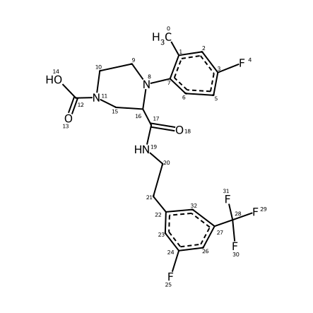 Cc1cc(F)ccc1N1CCN(C(=O)O)CC1C(=O)NCCc1cc(F)cc(C(F)(F)F)c1